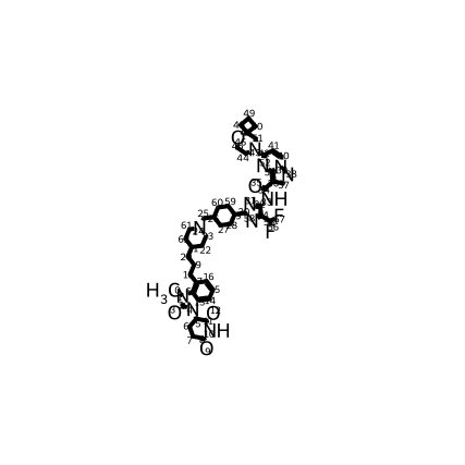 Cn1c(=O)n(C2CCC(=O)NC2=O)c2cccc(CCCC3CCN(CC4CCC(C5N=C(NC(=O)c6cnn7ccc(N8CCOC9(CCC9)C8)nc67)C(C(F)F)=N5)CC4)CC3)c21